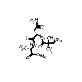 COC(=O)[C@H](C)NC(=O)[C@H](CC(N)=O)NC(=O)C(C)(C)CC(C)(C)C